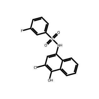 O=S(=O)(Nc1cc(Cl)c(O)c2ccccc12)c1cccc(F)c1